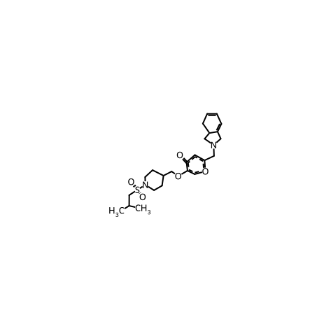 CC(C)CS(=O)(=O)N1CCC(COc2coc(CN3CC4=CC=CCC4C3)cc2=O)CC1